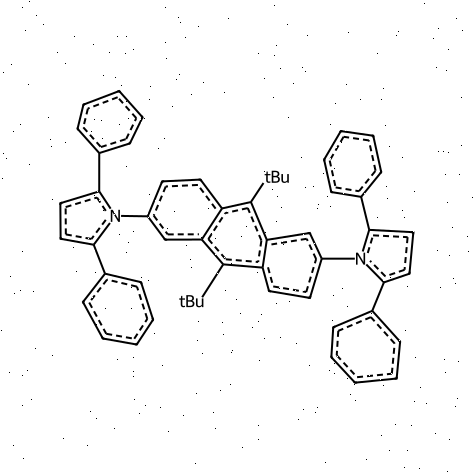 CC(C)(C)c1c2ccc(-n3c(-c4ccccc4)ccc3-c3ccccc3)cc2c(C(C)(C)C)c2ccc(-n3c(-c4ccccc4)ccc3-c3ccccc3)cc12